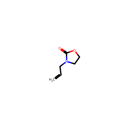 C=CCN1CCOC1=O